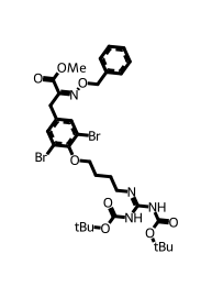 COC(=O)C(Cc1cc(Br)c(OCCCCN=C(NC(=O)OC(C)(C)C)NC(=O)OC(C)(C)C)c(Br)c1)=NOCc1ccccc1